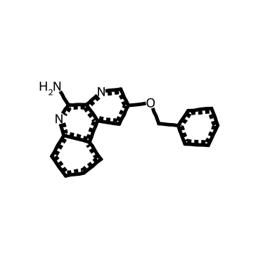 Nc1nc2ccccc2c2cc(OCc3ccccc3)cnc12